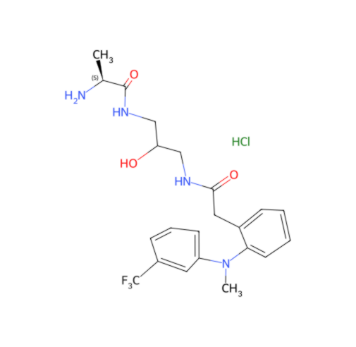 C[C@H](N)C(=O)NCC(O)CNC(=O)Cc1ccccc1N(C)c1cccc(C(F)(F)F)c1.Cl